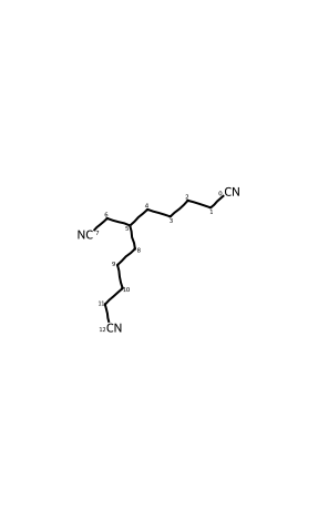 N#CCCCCC(CC#N)CCCCC#N